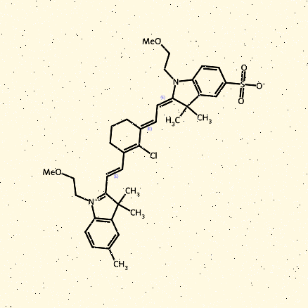 COCCN1/C(=C/C=C2\CCCC(/C=C/C3=[N+](CCOC)c4ccc(C)cc4C3(C)C)=C2Cl)C(C)(C)c2cc(S(=O)(=O)[O-])ccc21